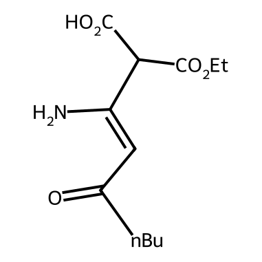 CCCCC(=O)C=C(N)C(C(=O)O)C(=O)OCC